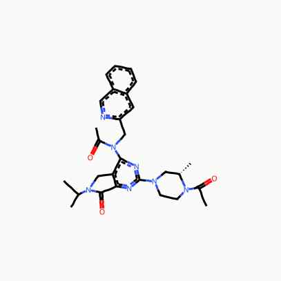 CC(=O)N(Cc1cc2ccccc2cn1)c1nc(N2CCN(C(C)=O)[C@@H](C)C2)nc2c1CN(C(C)C)C2=O